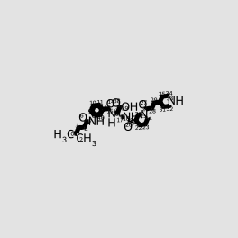 CC(C)CCC(=O)Nc1cccc(C(=O)N[C@@H](CNC(=O)[C@H]2CCCN(C(=O)CCC3CCNCC3)C2)C(=O)O)c1